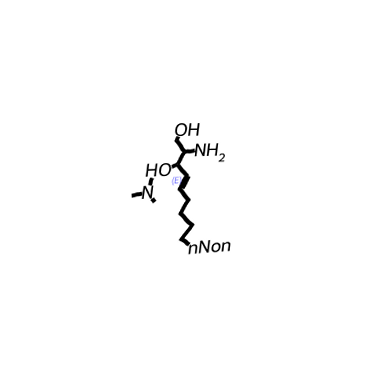 CCCCCCCCCCCCC/C=C/C(O)C(N)CO.CN(C)C